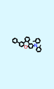 Cc1ccccc1N(c1ccc2c(c1)-c1ccccc1-c1cc(-c3ccccc3)ccc1O2)c1ccccc1C